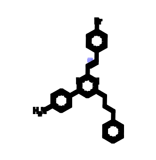 Nc1ccc(-c2cc(CCCc3ccccc3)nc(/C=C/c3ccc(Br)cc3)n2)cc1